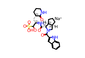 O=C1NCCC[C@H]1C[C@H](NC(=O)[C@@H]1[C@H]2CCC[C@H]2CN1C(=O)c1cc2ccccc2[nH]1)C(O)S(=O)(=O)[O-].[Na+]